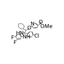 COC(=O)c1ccc(OCC(C2CCCCC2)C2(c3ccc(Cl)cc3)Nc3cc(F)c(F)cc3N2)nc1